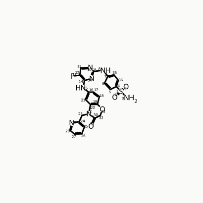 NS(=O)(=O)c1ccc(Nc2ncc(F)c(Nc3ccc4c(c3)N(Cc3ccccn3)C(=O)CO4)n2)cc1